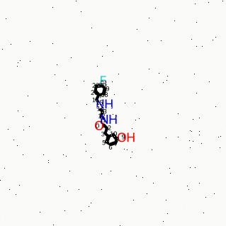 O=C(CCc1cccc(O)c1)NCCCNCc1ccc(F)cc1